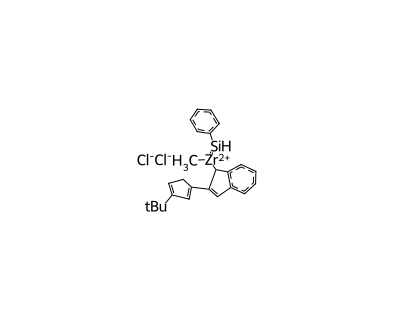 [CH3][Zr+2](=[SiH]c1ccccc1)[CH]1C(C2=CC(C(C)(C)C)=CC2)=Cc2ccccc21.[Cl-].[Cl-]